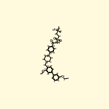 CCOc1cccc(-c2ccc(CN3CCN(c4ccc(C(=O)NS(=O)(=O)CCC(F)(F)F)cc4)CC3)c(OC)c2)c1